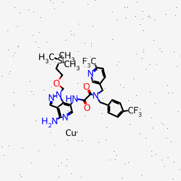 C[Si](C)(C)CCOCn1ncc2c(N)ncc(NC(=O)C(=O)N(Cc3ccc(C(F)(F)F)cc3)Cc3ccc(C(F)(F)F)nc3)c21.[Cu]